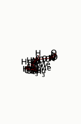 CC[C@H](C)[C@@H]([C@@H](CC(=O)N1CCC[C@H]1[C@H](OC)[C@@H](C)C(=O)N[C@@H](Cc1ccccc1)C(=O)NCCOCCOCCOCCn1cc(CN2C(=O)C=CC2=O)nn1)OC)N(C)C(=O)[C@@H](NC(=O)C1[C@H]2CC[C@H](C2)N1C)C(C)C